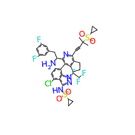 CC(C)(C#Cc1nc([C@@H](N)Cc2cc(F)cc(F)c2)c(-c2ccc(Cl)c3c(NS(=O)(=O)C4CC4)nn(C(F)C(F)F)c23)c2c1CCC2)S(=O)(=O)C1CC1